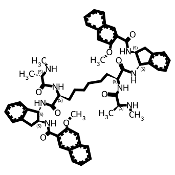 CN[C@@H](C)C(=O)N[C@@H](CCCCCC[C@H](NC(=O)[C@H](C)NC)C(=O)N[C@H]1c2ccccc2C[C@@H]1NC(=O)c1cc2ccccc2cc1OC)C(=O)N[C@H]1c2ccccc2C[C@@H]1NC(=O)c1cc2ccccc2cc1OC